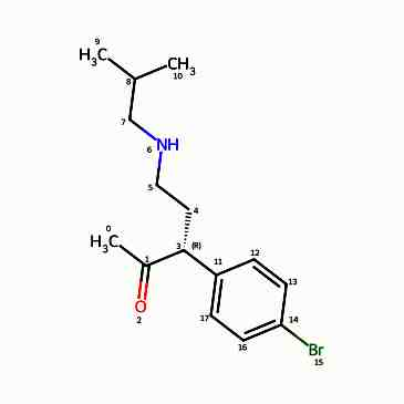 CC(=O)[C@H](CCNCC(C)C)c1ccc(Br)cc1